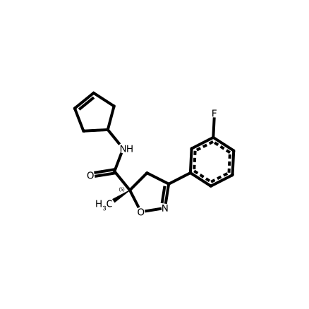 C[C@@]1(C(=O)NC2CC=CC2)CC(c2cccc(F)c2)=NO1